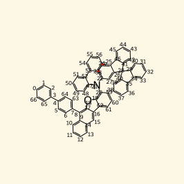 c1ccc(-c2ccc(-c3c4ccccc4cc4c3oc3c(N(c5ccc6c(c5)C5(c7ccccc7-c7ccccc75)c5ccccc5-6)c5ccccc5-c5ccccc5)cccc34)cc2)cc1